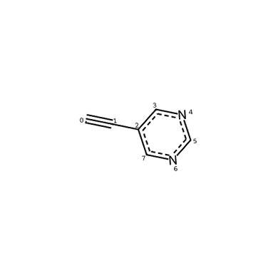 [C]#Cc1cncnc1